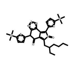 CCCCC(CC)CC1=C2C(=O)C(c3ccc([Si](C)(C)C)s3)c3nsnc3C2=C(c2ccc([Si](C)(C)C)s2)[N+]1=O